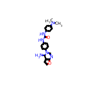 CN(C)c1ccc(NC(=O)Nc2ccc(N3C=Nc4occc4C3N)cc2)cc1